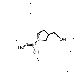 OCC1CCN(/[N+](O)=N/O)C1